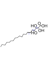 CCCCCCCCCCCCC/C=C/C=C(O)/C(O)=C(\O)C(=O)O